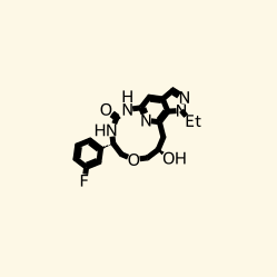 CCn1ncc2cc3nc(c21)C[C@@H](O)COC[C@H](c1cccc(F)c1)NC(=O)N3